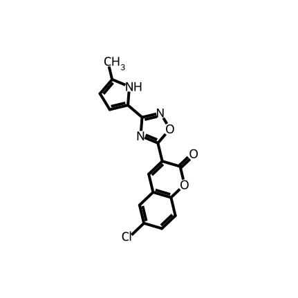 Cc1ccc(-c2noc(-c3cc4cc(Cl)ccc4oc3=O)n2)[nH]1